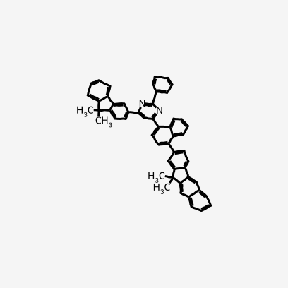 CC1(C)c2ccccc2-c2cc(-c3cc(-c4ccc(-c5ccc6c(c5)C(C)(C)c5cc7ccccc7cc5-6)c5ccccc45)nc(-c4ccccc4)n3)ccc21